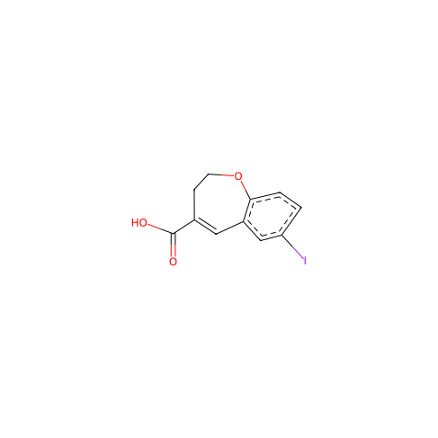 O=C(O)C1=Cc2cc(I)ccc2OCC1